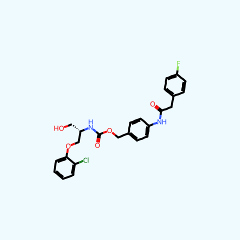 O=C(Cc1ccc(F)cc1)Nc1ccc(COC(=O)N[C@@H](CO)COc2ccccc2Cl)cc1